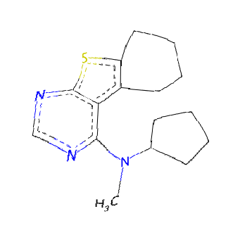 CN(c1ncnc2sc3c(c12)CCCC3)C1CCCC1